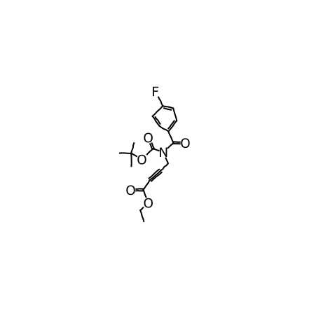 CCOC(=O)C#CCN(C(=O)OC(C)(C)C)C(=O)c1ccc(F)cc1